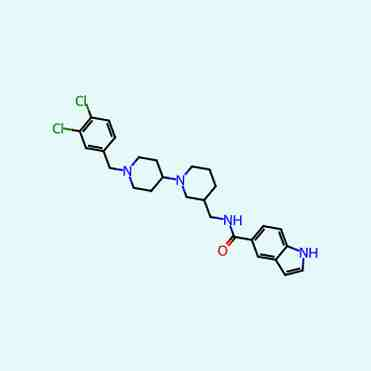 O=C(NCC1CCCN(C2CCN(Cc3ccc(Cl)c(Cl)c3)CC2)C1)c1ccc2[nH]ccc2c1